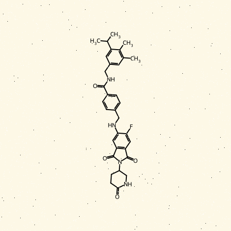 Cc1cc(CNC(=O)c2ccc(CNc3cc4c(cc3F)C(=O)N(C3CCC(=O)NC3)C4=O)cc2)cc(C(C)C)c1C